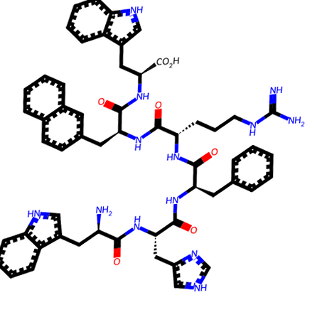 N=C(N)NCCC[C@H](NC(=O)[C@@H](Cc1ccccc1)NC(=O)[C@H](Cc1c[nH]cn1)NC(=O)[C@H](N)Cc1c[nH]c2ccccc12)C(=O)N[C@@H](Cc1ccc2ccccc2c1)C(=O)N[C@@H](Cc1c[nH]c2ccccc12)C(=O)O